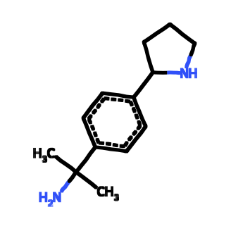 CC(C)(N)c1ccc(C2CCCN2)cc1